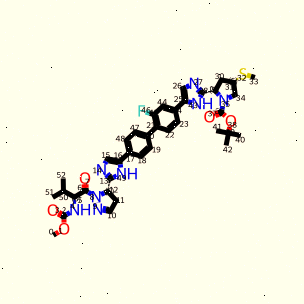 COC(=O)N[C@H](C(=O)N1N=CC[C@H]1c1ncc(-c2ccc(-c3ccc(-c4cnc([C@@H]5C[C@H](SC)CN5C(=O)OC(C)(C)C)[nH]4)cc3F)cc2)[nH]1)C(C)C